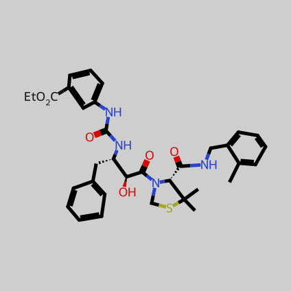 CCOC(=O)c1cccc(NC(=O)N[C@@H](Cc2ccccc2)[C@H](O)C(=O)N2CSC(C)(C)[C@H]2C(=O)NCc2ccccc2C)c1